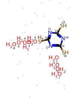 O.O.O.O.O.O.O.O.O.Sc1nc(S)nc(S)n1